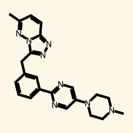 Cc1ccc2nnc(Cc3cccc(-c4ncc(N5CCN(C)CC5)cn4)c3)n2n1